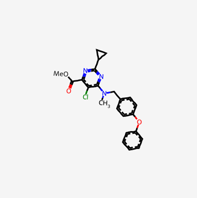 COC(=O)c1nc(C2CC2)nc(N(C)Cc2ccc(Oc3ccccc3)cc2)c1Cl